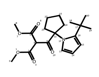 COC(=O)C(C(=O)OC)C(=O)C1(n2cccc2C(C)(C)C)CCCC1